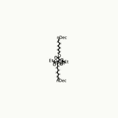 CCCCCCCCCCCCCCCCCCOC(=O)C(OC(=O)CC)C(S)(CCCCCCCCCCCCCCCCCC)OC(=O)CC